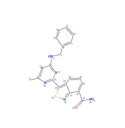 Cc1nc(NCc2ccccc2)nc(-c2snc3c(C(N)=O)cccc23)n1